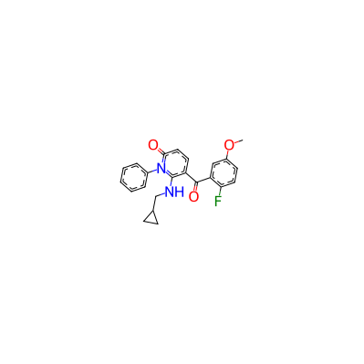 COc1ccc(F)c(C(=O)c2ccc(=O)n(-c3ccccc3)c2NCC2CC2)c1